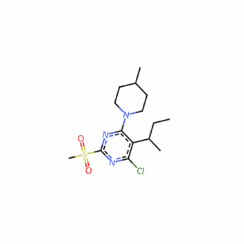 CCC(C)c1c(Cl)nc(S(C)(=O)=O)nc1N1CCC(C)CC1